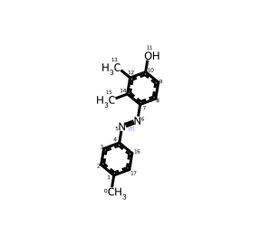 Cc1ccc(/N=N/c2ccc(O)c(C)c2C)cc1